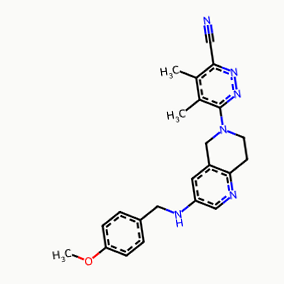 COc1ccc(CNc2cnc3c(c2)CN(c2nnc(C#N)c(C)c2C)CC3)cc1